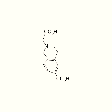 O=C(O)CN1CCc2cc(C(=O)O)ccc2C1